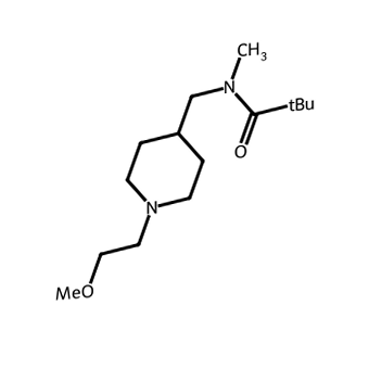 COCCN1CCC(CN(C)C(=O)C(C)(C)C)CC1